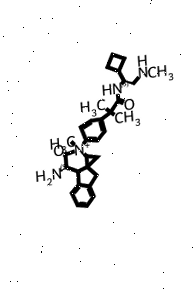 CNC[C@@H](NC(=O)C(C)(C)c1ccc([N+]2(C)C(=O)[C@@H](N)C3c4ccccc4CC34CC42)cc1)C1CCC1